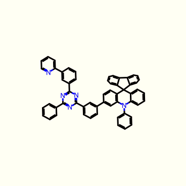 c1ccc(-c2nc(-c3cccc(-c4ccc5c(c4)N(c4ccccc4)c4ccccc4C54c5ccccc5-c5ccccc54)c3)nc(-c3cccc(-c4ccccn4)c3)n2)cc1